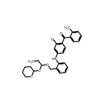 CCC(OCc1ccccc1Nc1ccc(C(=O)c2ccccc2C)c(Cl)c1)OC1CCCCO1